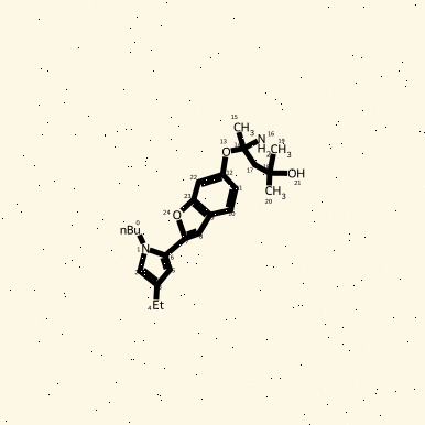 CCCCn1cc(CC)cc1-c1cc2ccc(OC(C)(N)CC(C)(C)O)cc2o1